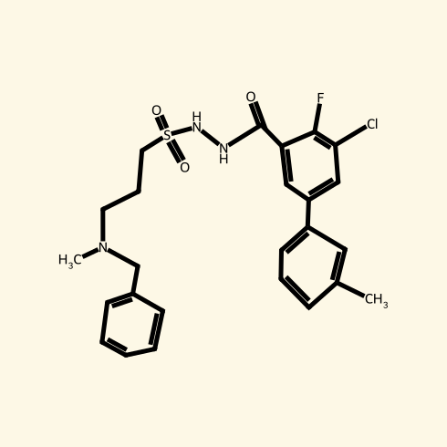 Cc1cccc(-c2cc(Cl)c(F)c(C(=O)NNS(=O)(=O)CCCN(C)Cc3ccccc3)c2)c1